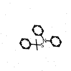 CC(C)(SN(c1ccccc1)c1ccccc1)c1ccccc1